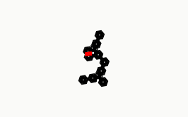 c1ccc(-c2ccc(N(c3ccccc3)c3ccc(-c4cccc(-c5ccc(N(c6ccccc6)c6ccc(-c7ccccc7)cc6)c(-c6ccccc6)c5)c4)cc3)cc2)cc1